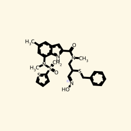 C=S(=O)(c1cccs1)N(C)c1cc(C)cc2cc(C(=O)N(C)CC(/C=N/O)SCc3ccccc3)[nH]c12